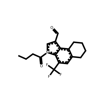 CCCC(=O)n1cc(C=O)c2c3c(cc(C(F)(F)F)c21)CCCC3